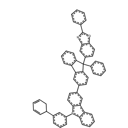 C1=CCC(c2cccc(-n3c4ccccc4c4cc(-c5ccc6c(c5)-c5ccccc5C6(c5ccccc5)c5ccc6oc(-c7ccccc7)nc6c5)ccc43)c2)C=C1